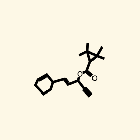 C#CC(C=CC1C=CCCC1)OC(=O)C1C(C)(C)C1(C)C